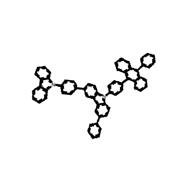 c1ccc(-c2ccc3c(c2)c2cc(-c4ccc(-n5c6ccccc6c6ccccc65)cc4)ccc2n3-c2ccc(-c3c4ccccc4c(-c4ccccc4)c4ccccc34)cc2)cc1